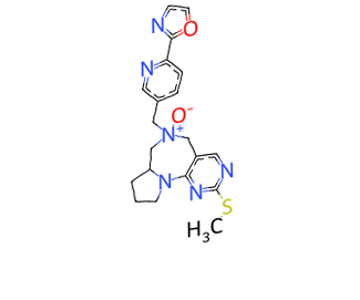 CSc1ncc2c(n1)N1CCCC1C[N+]([O-])(Cc1ccc(-c3ncco3)nc1)C2